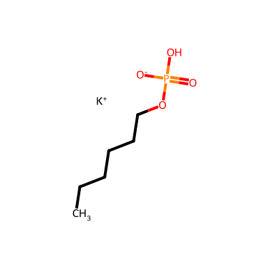 CCCCCCOP(=O)([O-])O.[K+]